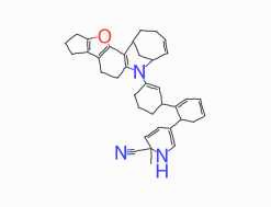 CC1(C#N)C=CC(C2CC=CC=C2C2C=C(N3C4=C(c5oc6c(c5CC4)CCC6)C4CCC=CC3C4)CCC2)=CN1